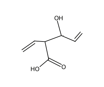 C=C[C](O)C(C=C)C(=O)O